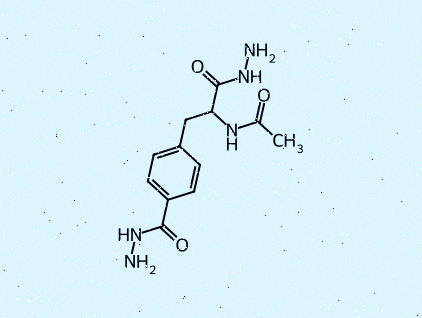 CC(=O)NC(Cc1ccc(C(=O)NN)cc1)C(=O)NN